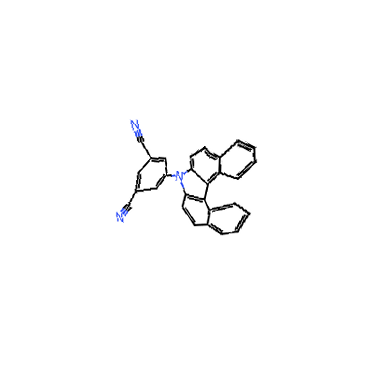 N#Cc1cc(C#N)cc(-n2c3ccc4ccccc4c3c3c4ccccc4ccc32)c1